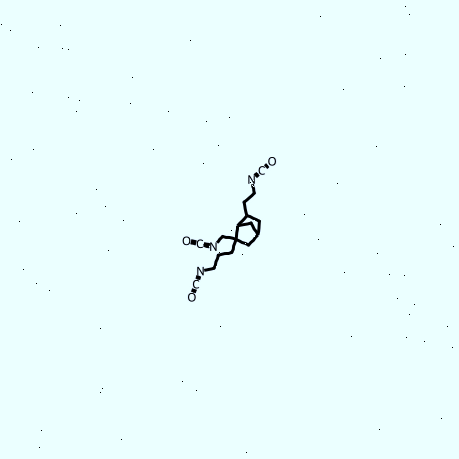 O=C=NCCCC1(CN=C=O)CC2CC(CCN=C=O)C1C2